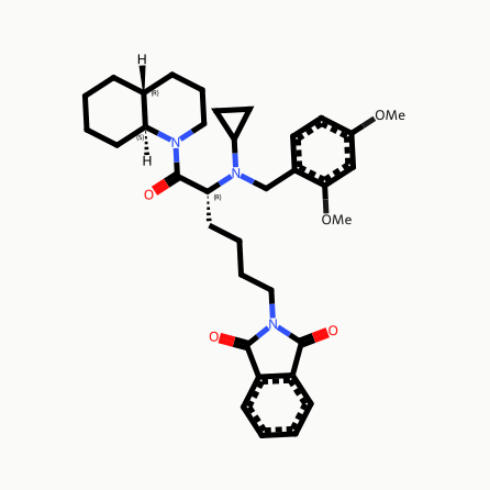 COc1ccc(CN(C2CC2)[C@H](CCCCN2C(=O)c3ccccc3C2=O)C(=O)N2CCC[C@H]3CCCC[C@@H]32)c(OC)c1